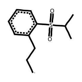 [CH2]CCc1ccccc1S(=O)(=O)C(C)C